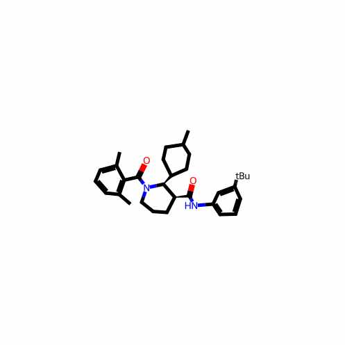 Cc1cccc(C)c1C(=O)N1CCC[C@H](C(=O)Nc2cccc(C(C)(C)C)c2)[C@@H]1C1CCC(C)CC1